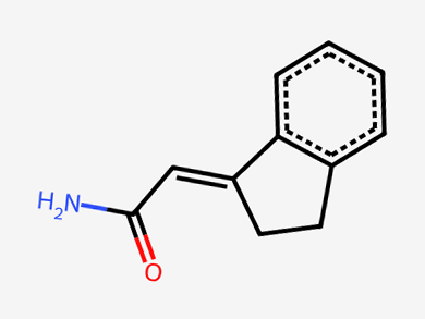 NC(=O)/C=C1\CCc2ccccc21